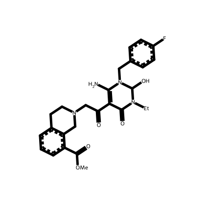 CCN1C(=O)C(C(=O)CN2CCc3cccc(C(=O)OC)c3C2)=C(N)N(Cc2ccc(F)cc2)C1O